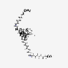 CC(=O)OCCCCCCCC/C=C\CCCCCCCCC(CCCCCCCC/C=C\CCCCCCCCOC(C)=O)OC(=O)CC(C)(C)CC(C)(C)CN(C)C